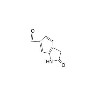 O=Cc1ccc2c(c1)NC(=O)C2